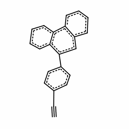 C#Cc1ccc(-c2cc3ccccc3c3ccccc23)cc1